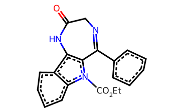 CCOC(=O)n1c2c(c3ccccc31)NC(=O)CN=C2c1ccccc1